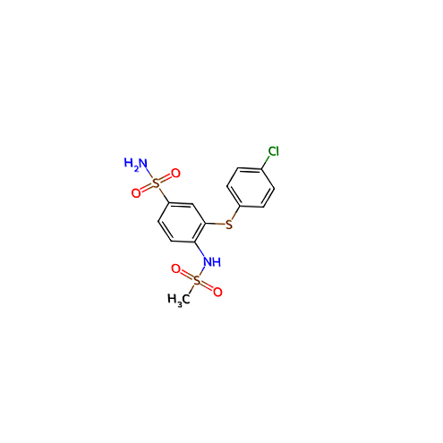 CS(=O)(=O)Nc1ccc(S(N)(=O)=O)cc1Sc1ccc(Cl)cc1